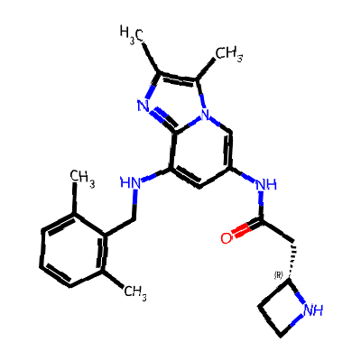 Cc1cccc(C)c1CNc1cc(NC(=O)C[C@H]2CCN2)cn2c(C)c(C)nc12